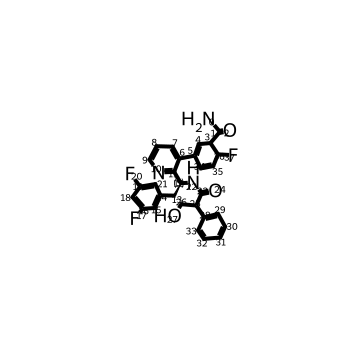 NC(=O)C1C=C(c2cccnc2[C@H](Cc2cc(F)cc(F)c2)NC(=O)C(CO)c2ccccc2)C=CC1F